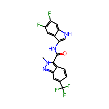 Cn1nc2cc(C(F)(F)F)ccc2c1C(=O)Nc1c[nH]c2cc(F)c(F)cc12